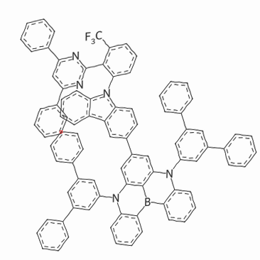 FC(F)(F)c1cccc(-n2c3ccccc3c3cc(-c4cc5c6c(c4)N(c4cc(-c7ccccc7)cc(-c7ccccc7)c4)c4ccccc4B6c4ccccc4N5c4cc(-c5ccccc5)cc(-c5ccccc5)c4)ccc32)c1-c1nc(-c2ccccc2)cc(-c2ccccc2)n1